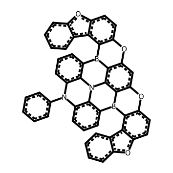 c1ccc(N2c3cccc4c3N3c5c(cccc52)B2c5c(cc6c(c53)B4c3c(ccc4oc5ccccc5c34)O6)Oc3ccc4oc5ccccc5c4c32)cc1